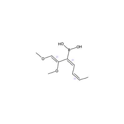 C\C=C/C=C(B(O)O)\C(=C\OC)OC